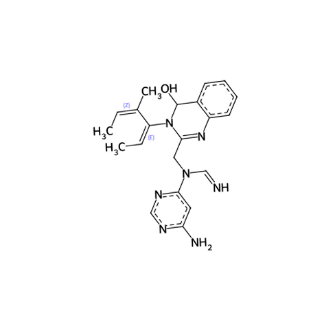 C/C=C(C)\C(=C/C)N1C(CN(C=N)c2cc(N)ncn2)=Nc2ccccc2C1O